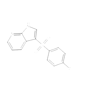 O=S(=O)(c1ccc(F)cc1)c1c[nH]c2ncccc12